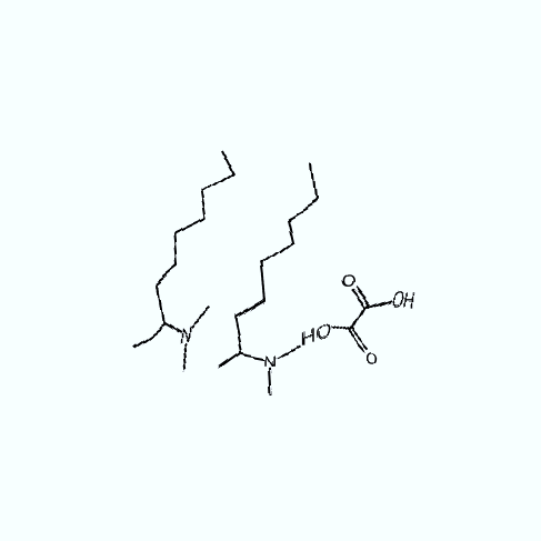 CCCCCCCC(C)N(C)C.CCCCCCCC(C)N(C)C.O=C(O)C(=O)O